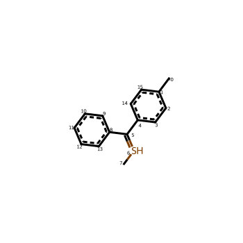 [CH2]c1ccc(C(=[SH]C)c2ccccc2)cc1